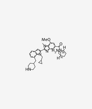 COc1cc(C(=O)N2C[C@H]3CC[C@@H]2C3N)cc2nc(-c3cc4cccc(CC5CCNCC5)c4n3CC3CC3)n(C)c12